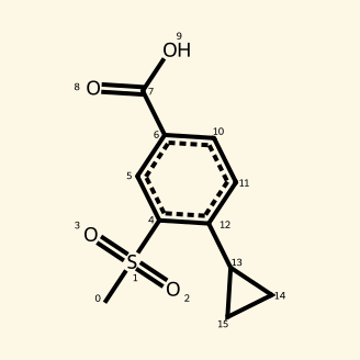 CS(=O)(=O)c1cc(C(=O)O)ccc1C1CC1